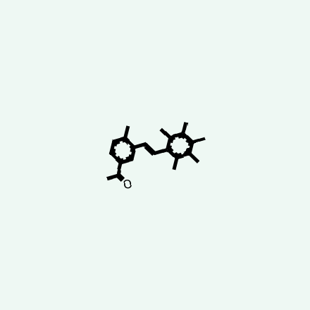 CC(=O)c1ccc(C)c(/C=C/c2c(C)c(C)c(C)c(C)c2C)c1